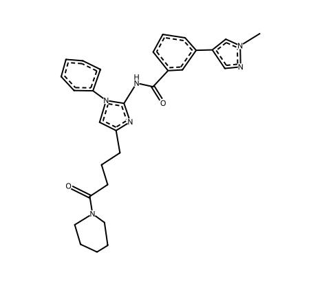 Cn1cc(-c2cccc(C(=O)Nc3nc(CCCC(=O)N4CCCCC4)cn3-c3ccccc3)c2)cn1